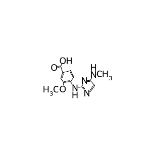 CNc1ccnc(Nc2ccc(C(=O)O)cc2OC)n1